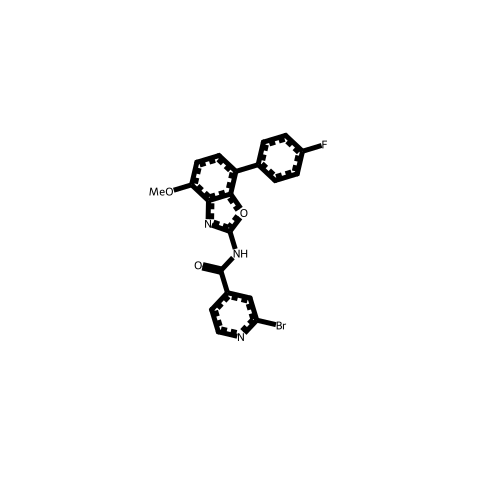 COc1ccc(-c2ccc(F)cc2)c2oc(NC(=O)c3ccnc(Br)c3)nc12